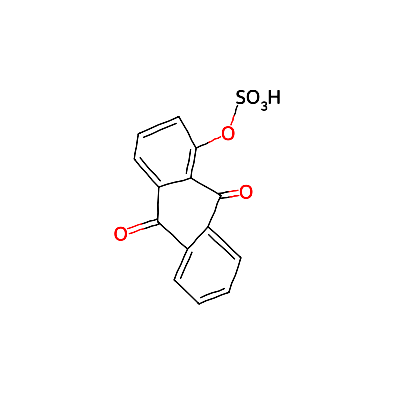 O=C1c2ccccc2C(=O)c2c(OS(=O)(=O)O)cccc21